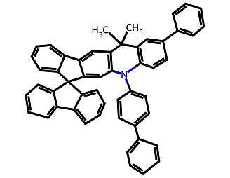 CC1(C)c2cc(-c3ccccc3)ccc2N(c2ccc(-c3ccccc3)cc2)c2cc3c(cc21)-c1ccccc1C31c2ccccc2-c2ccccc21